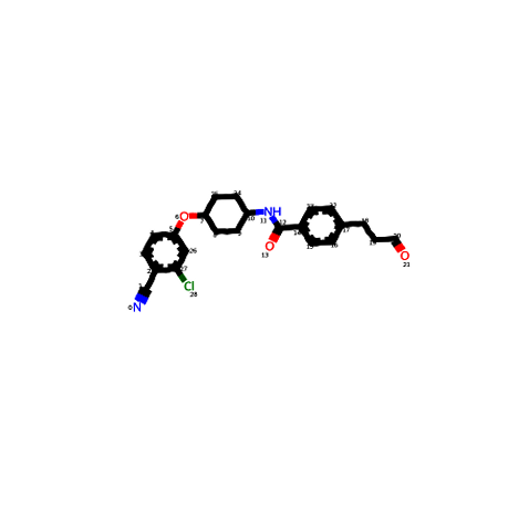 N#Cc1ccc(OC2CCC(NC(=O)c3ccc(CCC=O)cc3)CC2)cc1Cl